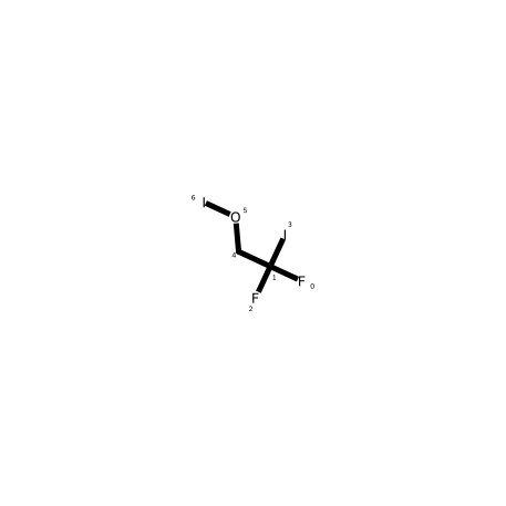 FC(F)(I)COI